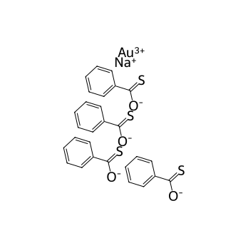 [Au+3].[Na+].[O-]C(=S)c1ccccc1.[O-]C(=S)c1ccccc1.[O-]C(=S)c1ccccc1.[O-]C(=S)c1ccccc1